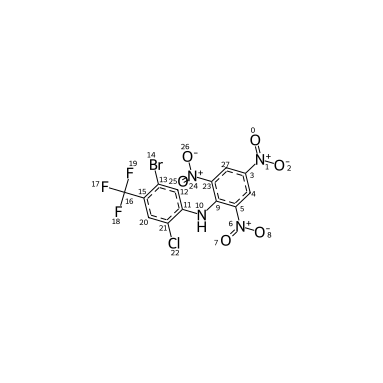 O=[N+]([O-])c1cc([N+](=O)[O-])c(Nc2cc(Br)c(C(F)(F)F)cc2Cl)c([N+](=O)[O-])c1